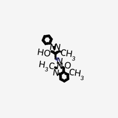 Cc1nn(-c2ccccc2)c(O)c1/C=N/n1c(C)nc2cccc(C)c2c1=O